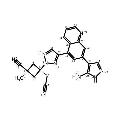 C[C@]1(C#N)C[C@@](CC#N)(n2ncc(-c3cc(-c4cn[nH]c4N)cc4ncccc34)n2)C1